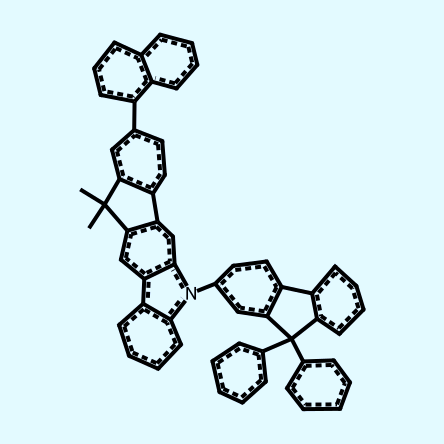 CC1(C)c2cc(-c3cccc4ccccc34)ccc2-c2cc3c(cc21)c1ccccc1n3-c1ccc2c(c1)C(c1ccccc1)(c1ccccc1)c1ccccc1-2